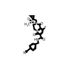 CS(=O)(=O)C1(CN2CCn3c(c(F)cc(C(=O)NCc4ccc(C#N)cc4)c3=O)C2=O)CC1